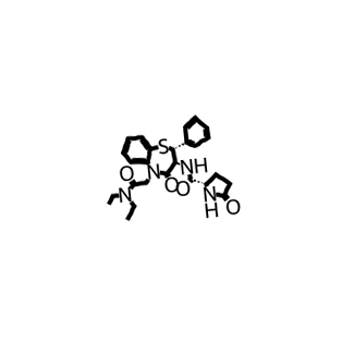 CCN(CC)C(=O)CN1C(=O)[C@@H](NC(=O)[C@@H]2CCC(=O)N2)[C@@H](c2ccccc2)Sc2ccccc21